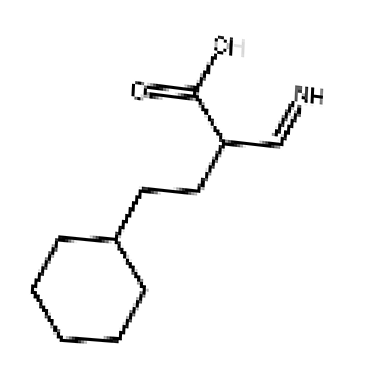 N=CC(CCC1CCCCC1)C(=O)O